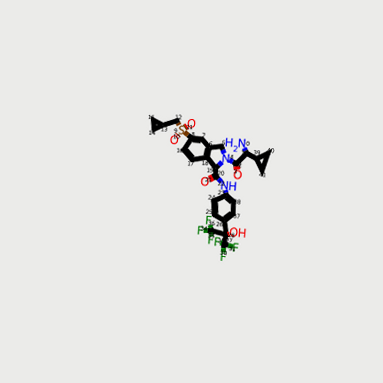 NC(C(=O)N1Cc2cc(S(=O)(=O)CC3CC3)ccc2C1C(=O)Nc1ccc(C(O)(C(F)(F)F)C(F)(F)F)cc1)C1CC1